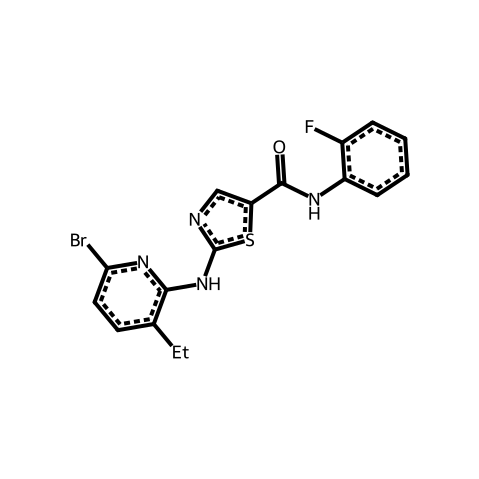 CCc1ccc(Br)nc1Nc1ncc(C(=O)Nc2ccccc2F)s1